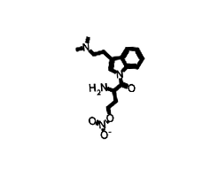 CN(C)CCc1cn(C(=O)C(N)CCO[N+](=O)[O-])c2ccccc12